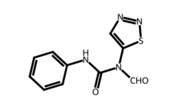 O=CN(C(=O)Nc1ccccc1)c1cnns1